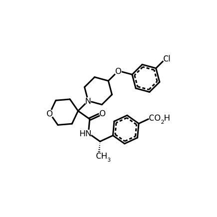 C[C@H](NC(=O)C1(N2CCC(Oc3cccc(Cl)c3)CC2)CCOCC1)c1ccc(C(=O)O)cc1